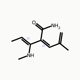 C=C(C)/C=C(C(N)=O)/C(=C/C)NC